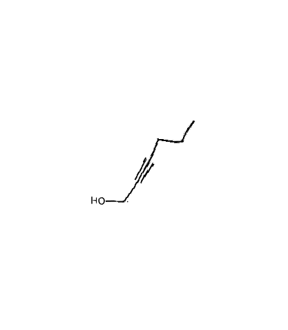 CCCC#C[CH]O